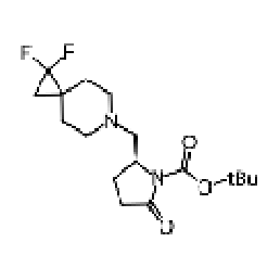 CC(C)(C)OC(=O)N1C(=O)CC[C@H]1CN1CCC2(CC1)CC2(F)F